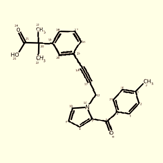 Cc1ccc(C(=O)c2cccn2CC#Cc2cccc(C(C)(C)C(=O)O)c2)cc1